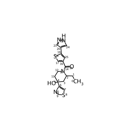 CCC1CC(O)(c2cscn2)CCN1C(=O)c1csc(-c2cn[nH]c2)c1